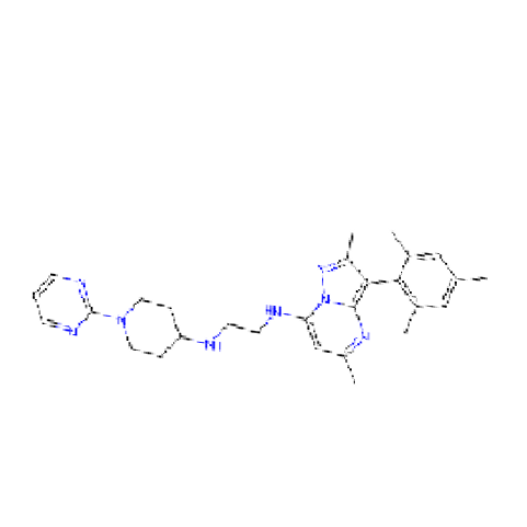 Cc1cc(C)c(-c2c(C)nn3c(NCCNC4CCN(c5ncccn5)CC4)cc(C)nc23)c(C)c1